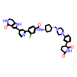 O=C1CCC(c2cccc(N3CCN(C[C@H]4CC[C@H](NC(=O)c5ccc(-c6cc(-c7cc8c([nH]7)CCNC8=O)ccn6)c(F)c5)CC4)CC3)c2)C(=O)N1